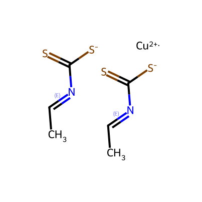 C/C=N/C(=S)[S-].C/C=N/C(=S)[S-].[Cu+2]